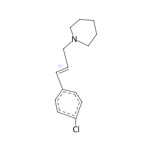 Clc1ccc(/C=C/CN2CCCCC2)cc1